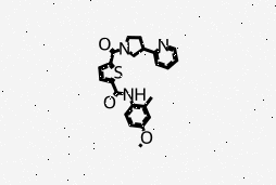 COc1ccc(NC(=O)c2ccc(C(=O)N3CCC(c4ccccn4)C3)s2)c(C)c1